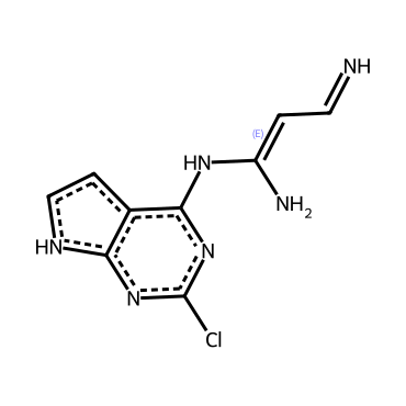 N=C/C=C(\N)Nc1nc(Cl)nc2[nH]ccc12